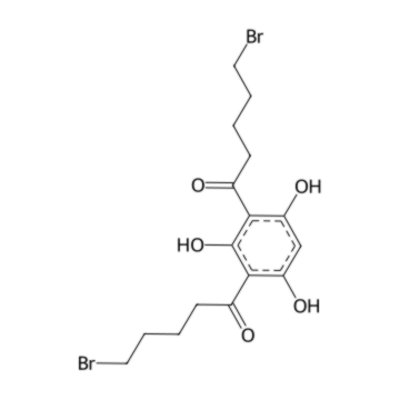 O=C(CCCCBr)c1c(O)cc(O)c(C(=O)CCCCBr)c1O